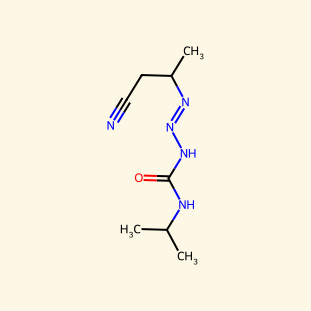 CC(CC#N)N=NNC(=O)NC(C)C